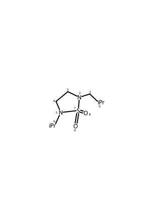 CC(C)CN1CCN(C(C)C)S1(=O)=O